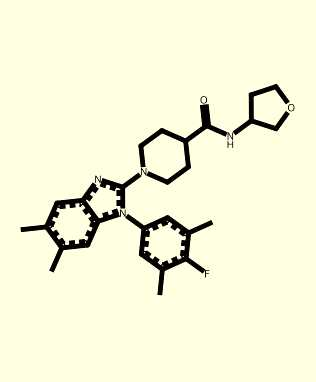 Cc1cc2nc(N3CCC(C(=O)NC4CCOC4)CC3)n(-c3cc(C)c(F)c(C)c3)c2cc1C